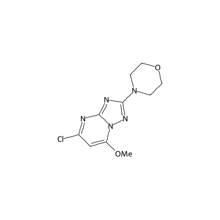 COc1cc(Cl)nc2nc(N3CCOCC3)nn12